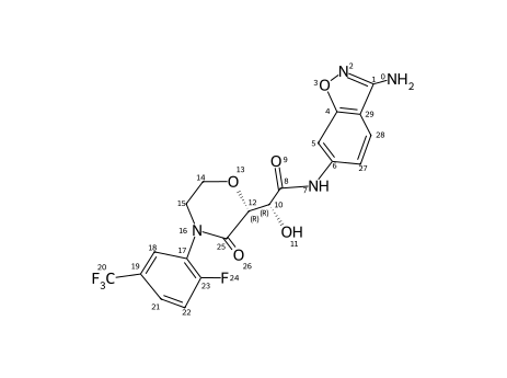 Nc1noc2cc(NC(=O)[C@H](O)[C@H]3OCCN(c4cc(C(F)(F)F)ccc4F)C3=O)ccc12